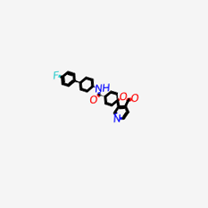 O=C1O[C@]2(CC[C@@H](C(=O)N[C@H]3CC[C@H](c4ccc(F)cc4)CC3)CC2)c2cnccc21